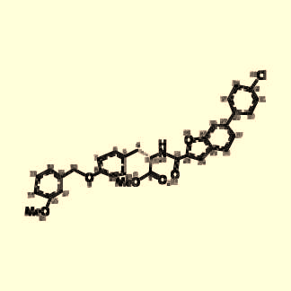 COC(=O)[C@H](Cc1ccc(OCc2cccc(OC)c2)cc1)NC(=O)c1cc2ccc(-c3ccc(Cl)cc3)cc2o1